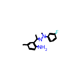 C/C(=N\N(C)c1cccc(F)c1)c1cc(C)ccc1N